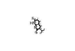 CC(C)c1cc2ccc(F)[nH]c-2nc1=S